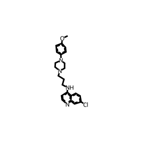 COc1ccc(N2CCN(CCCNc3ccnc4cc(Cl)ccc34)CC2)cc1